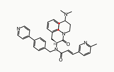 Cc1ccc(C=CC(=O)N(Cc2ccc(-c3ccncc3)cc2)[C@@H](Cc2ccccc2)C(=O)N2CCC(N(C)C)CC2)cn1